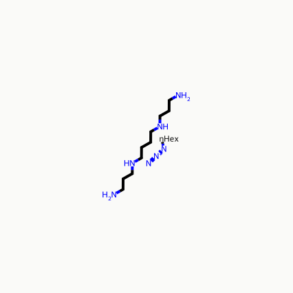 CCCCCCN=[N+]=[N-].NCCCNCCCCNCCCN